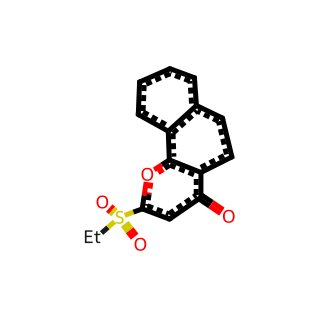 CCS(=O)(=O)c1cc(=O)c2ccc3ccccc3c2o1